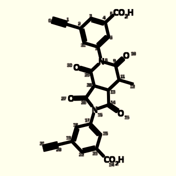 C#Cc1cc(C(=O)O)cc(N2C(=O)C(C)C3C(=O)N(c4cc(C#C)cc(C(=O)O)c4)C(=O)C3C2=O)c1